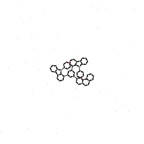 c1ccc(-n2c3ccccc3c3cccc(-c4cc(-c5ccc6ccc7ccccc7c6c5)cc(-c5cccc6c7ccccc7n(-c7ccccc7)c56)c4)c32)cc1